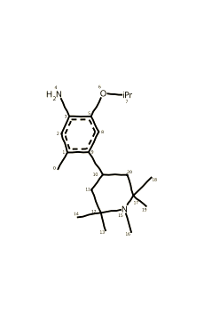 Cc1cc(N)c(OC(C)C)cc1C1CC(C)(C)N(C)C(C)(C)C1